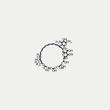 C[C@@H]1OC(=O)CC(O)CC(O)CCC(O)C(O)CC(O)CC2(O)C[C@H](O)C(C(=O)O)[C@H](CC(OC3O[C@H](C)C(O)[C@H](N)C3F)/C=C/C=C/C=C/C=C/C=C/C=C/C=C/[C@H](C)C(O)[C@H]1C)O2